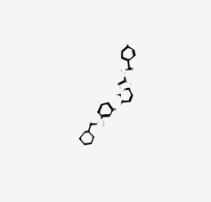 O=C(Nc1cn2nc(Oc3cccc(NC(=O)C4CCCCC4)c3)ccc2n1)c1ccc(C(F)(F)F)cc1